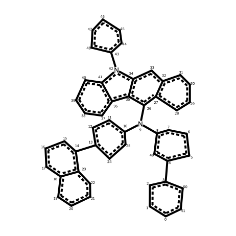 c1ccc(-c2cccc(N(c3ccc(-c4cccc5ccccc45)cc3)c3c4ccccc4cc4c3c3ccccc3n4-c3ccccc3)c2)cc1